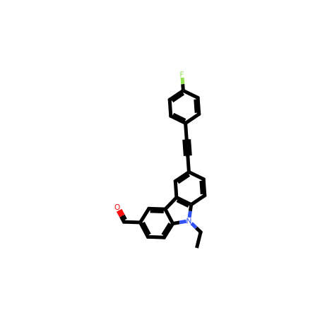 CCn1c2ccc(C#Cc3ccc(F)cc3)cc2c2cc(C=O)ccc21